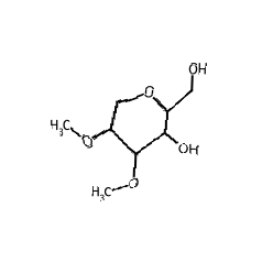 COC1COC(CO)C(O)C1OC